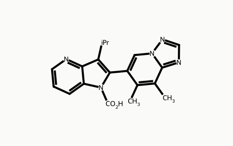 Cc1c(-c2c(C(C)C)c3ncccc3n2C(=O)O)cn2ncnc2c1C